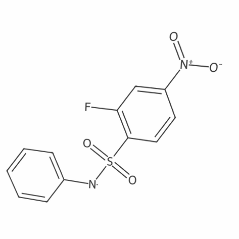 O=[N+]([O-])c1ccc(S(=O)(=O)[N]c2ccccc2)c(F)c1